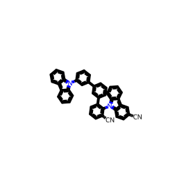 N#Cc1ccc2c(c1)c1ccccc1n2-c1c(C#N)cccc1-c1cccc(-c2cccc(-n3c4ccccc4c4ccccc43)c2)c1